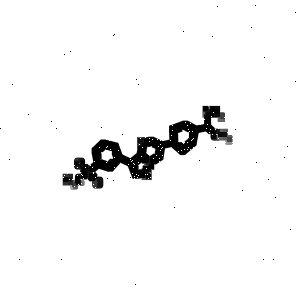 CC(N)c1ccc(-c2cnc3c(-c4cccc(S(C)(=O)=O)c4)cnn3c2)cc1